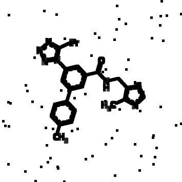 Cc1ccc(-c2cc(C(=O)NCc3scnc3C)cc(-n3nnnc3C(C)C)c2)cc1